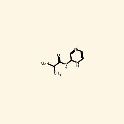 CNC(C)C(=O)NC1C=NC=CN1